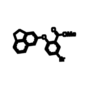 COC(=O)c1cc(Br)ccc1Oc1cc2c3c(cccc3c1)CC2